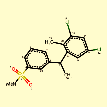 CNS(=O)(=O)c1cccc(C(C)c2cc(Cl)cc(Cl)c2C)c1